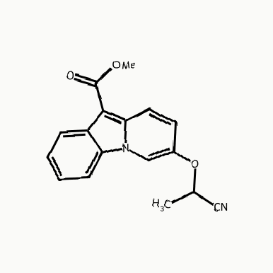 COC(=O)c1c2ccccc2n2cc(OC(C)C#N)ccc12